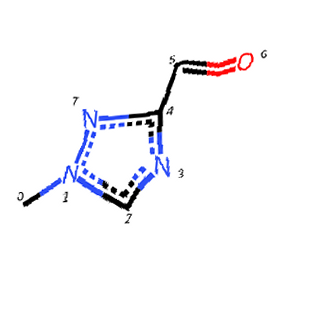 Cn1cnc(C=O)n1